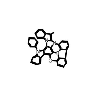 Cc1c2ccccc2n2c3c4c5c(c6c7ccccc7n(-c7ccccc7)c63)Oc3cccc6c3B5c3c-6cccc3-n4c12